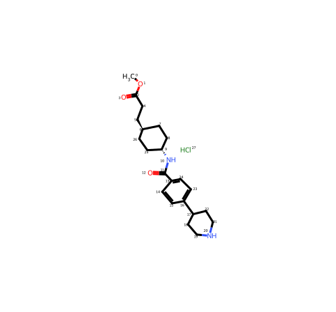 COC(=O)CC[C@H]1CC[C@H](NC(=O)c2ccc(C3CCNCC3)cc2)CC1.Cl